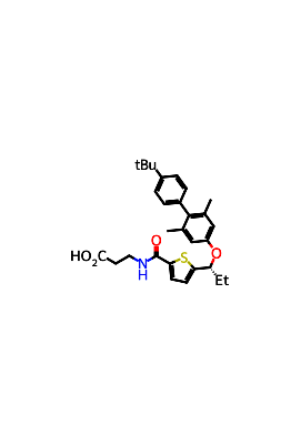 CC[C@@H](Oc1cc(C)c(-c2ccc(C(C)(C)C)cc2)c(C)c1)c1ccc(C(=O)NCCC(=O)O)s1